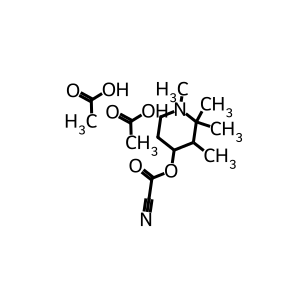 CC(=O)O.CC(=O)O.CC1C(OC(=O)C#N)CCN(C)C1(C)C